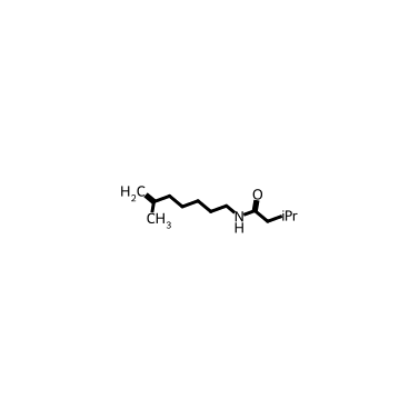 C=C(C)CCCCCNC(=O)CC(C)C